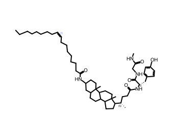 CCCCCCCC/C=C\CCCCCCCC(=O)NC1CCC2(C)C(CCC3C2CCC2(C)C3CCC2[C@@H](C)CCC(=O)N[C@@H](Cc2ccc(O)cc2)C(=O)NCC(=O)NC)C1